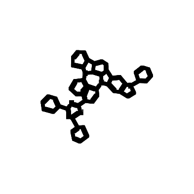 c1ccc(-c2nc(-c3ccccc3)nc(-c3ccc(-n4c5cc6ccn(-c7ccccc7)c6cc5c5ccc6c7ccccc7n(-c7ccccc7)c6c54)cc3)n2)cc1